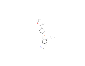 COc1cc2c(cc1S(=O)(=O)c1ccc(C(O[SiH](C)C)C(C)(C)C)cc1)CNCC2